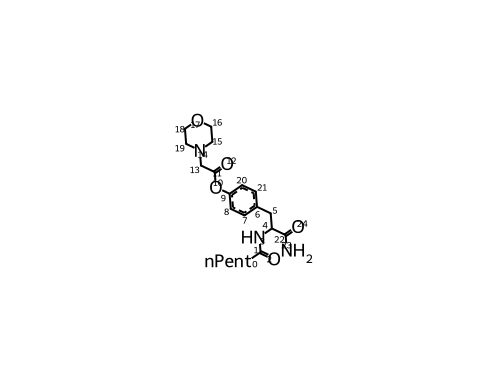 CCCCCC(=O)NC(Cc1ccc(OC(=O)CN2CCOCC2)cc1)C(N)=O